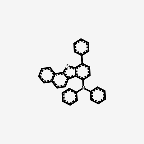 c1ccc(-c2ccc(N(c3ccccc3)c3ccccc3)c3c2sc2c4ccccc4ccc23)cc1